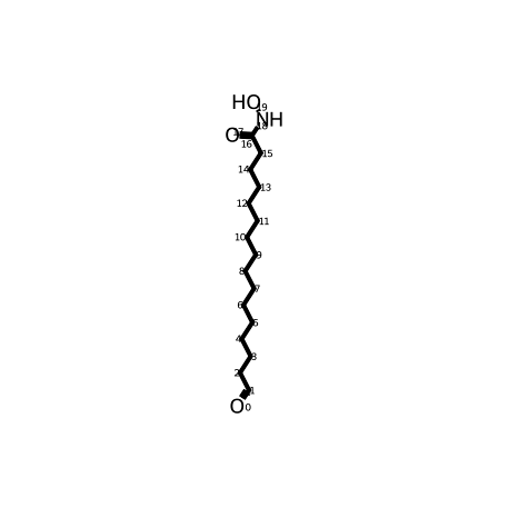 O=[C]CCCCCCCCCCCCCCC(=O)NO